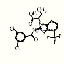 CCC(C(=O)O)n1/c(=N/C(=O)c2cc(Cl)cc(Cl)c2)sc2c(C(F)(F)F)cccc21